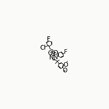 COc1ccc(C(C)(C)c2cnc(S(=O)(=O)CCc3ccc(F)cc3Cl)n2-c2ccc(F)cc2)cc1OC